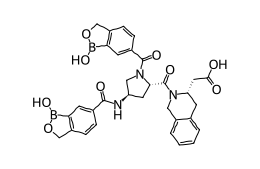 O=C(O)C[C@@H]1Cc2ccccc2CN1C(=O)[C@@H]1C[C@@H](NC(=O)c2ccc3c(c2)B(O)OC3)CN1C(=O)c1ccc2c(c1)B(O)OC2